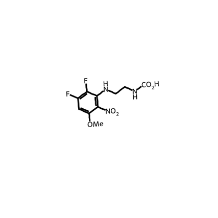 COc1cc(F)c(F)c(NCCNC(=O)O)c1[N+](=O)[O-]